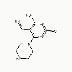 N=Cc1c(N)cc(Cl)cc1N1CCNCC1